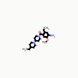 CCc1cc(N)c(OC)cc1C(=O)N1CCC(N2CCC(CC)CC2)CC1